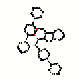 c1ccc(-c2ccc(-c3ccccc3N(c3ccc(-c4ccccc4)cc3)c3cccc4c3oc3cccnc34)cc2)cc1